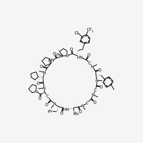 CC[C@H](C)[C@@H]1NC(=O)[C@H](CC(C)C)N(C)C(=O)C[C@@H](C(=O)N2CCCC2)N(C)C(=O)[C@H](C2CCCC2)N(C)C(=O)C2(CCCC2)NC(=O)[C@@H]2CCCN2C(=O)[C@H](CCc2ccc(C(F)(F)F)c(Cl)c2)NC(=O)CN(C)C(=O)[C@H](Cc2ccc(C)cc2)N(C)C(=O)CN(C)C(=O)CN(C)C1=O